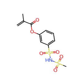 C=C(C)C(=O)Oc1cccc(S(=O)(=O)NS(C)(=O)=O)c1